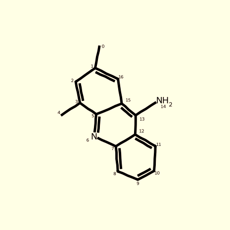 Cc1cc(C)c2nc3ccccc3c(N)c2c1